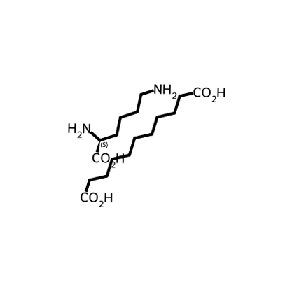 NCCCC[C@H](N)C(=O)O.O=C(O)CCCCCCCCCC(=O)O